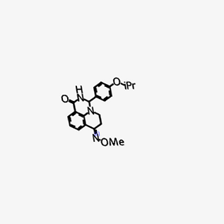 CO/N=C1\CCN2c3c(cccc31)C(=O)NC2c1ccc(OC(C)C)cc1